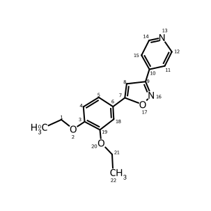 CCOc1ccc(-c2cc(-c3ccncc3)no2)cc1OCC